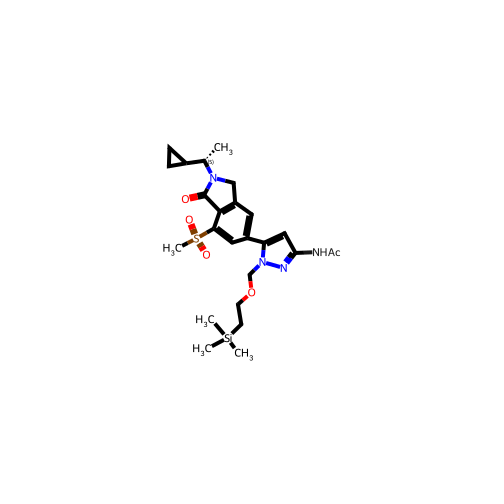 CC(=O)Nc1cc(-c2cc3c(c(S(C)(=O)=O)c2)C(=O)N([C@@H](C)C2CC2)C3)n(COCC[Si](C)(C)C)n1